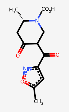 Cc1cc(C(=O)C2CN(C(=O)O)[C@@H](C)CC2=O)no1